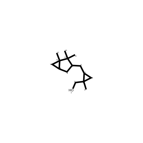 CC1(CO)CC1CC1CC2CC2(C)C1(C)C